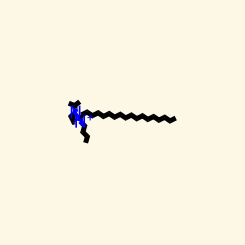 CCCCCCCCCCCCCCCCCc1n(C(C)C)cc[n+]1CCCC